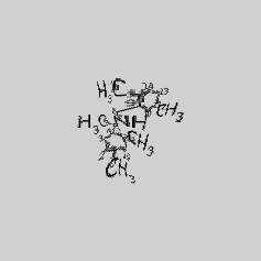 Cc1ccc(C(C)NCc2cc(C)ccc2C)c(C)c1